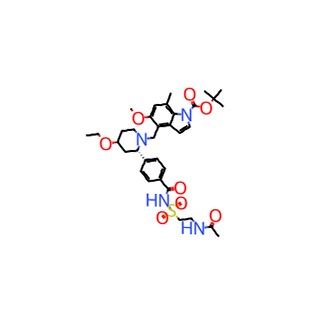 CCO[C@H]1CCN(Cc2c(OC)cc(C)c3c2ccn3C(=O)OC(C)(C)C)[C@H](c2ccc(C(=O)NS(=O)(=O)CCNC(C)=O)cc2)C1